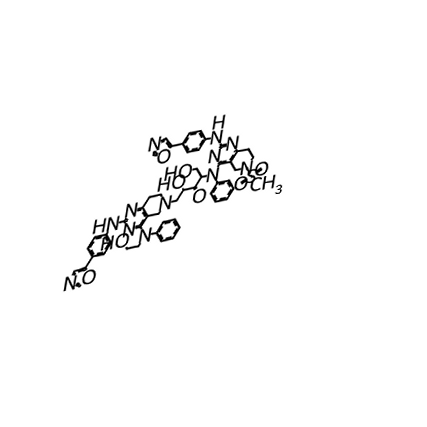 CS(=O)(=O)N1CCc2nc(Nc3ccc(-c4cnco4)cc3)nc(N(c3ccccc3)C(CO)C(=O)[C@@H](O)CN3CCc4nc(Nc5ccc(-c6cnco6)cc5)nc(N(CCO)c5ccccc5)c4C3)c2C1